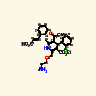 CCOC(=O)C1=C(COCCN)NC(C)=C(C(=O)OC)C1c1ccccc1Cl.O=C(O)C=Cc1ccccc1